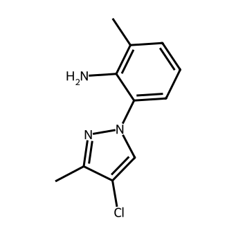 Cc1cccc(-n2cc(Cl)c(C)n2)c1N